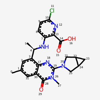 Cc1cc([C@@H](C)Nc2ccc(Cl)nc2C(=O)O)c2nc(N3CC4CC4C3)n(C)c(=O)c2c1